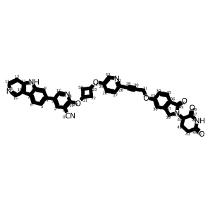 N#Cc1cc(-c2ccc3c(c2)[nH]c2ccncc23)cnc1OC1CC(Oc2ccc(C#CCOc3ccc4c(c3)CN(C3CCC(=O)NC3=O)C4=O)nc2)C1